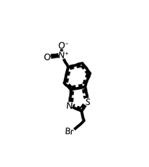 O=[N+]([O-])c1ccc2sc(CBr)nc2c1